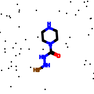 O=C(NNS)N1CCNCC1